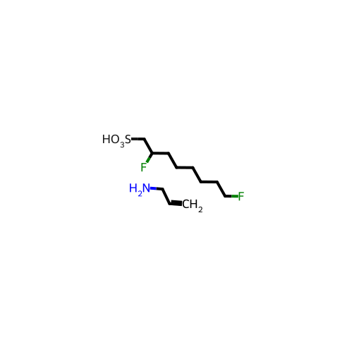 C=CCN.O=S(=O)(O)CC(F)CCCCCCF